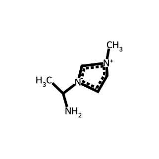 CC(N)n1cc[n+](C)c1